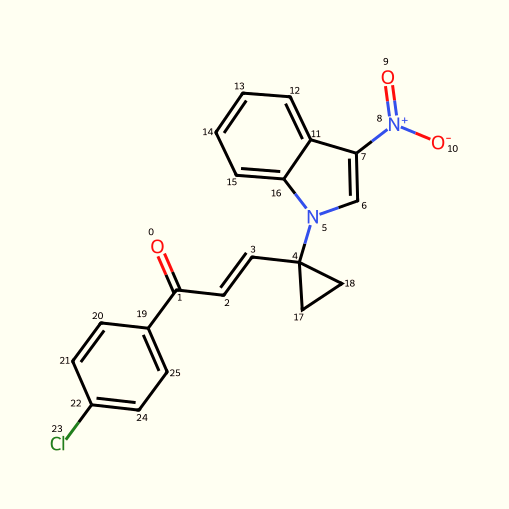 O=C(/C=C/C1(n2cc([N+](=O)[O-])c3ccccc32)CC1)c1ccc(Cl)cc1